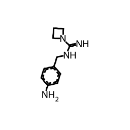 N=C(NCc1ccc(N)cc1)N1CCC1